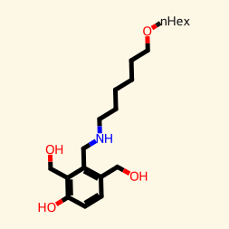 CCCCCCOCCCCCCNCc1c(CO)ccc(O)c1CO